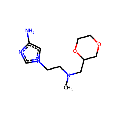 CN(CCn1cnc(N)c1)CC1COCCO1